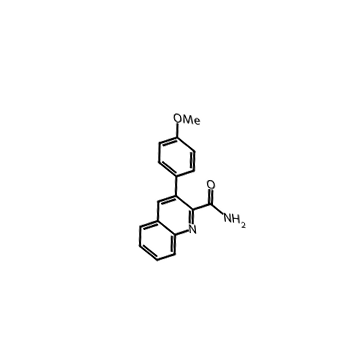 COc1ccc(-c2cc3ccccc3nc2C(N)=O)cc1